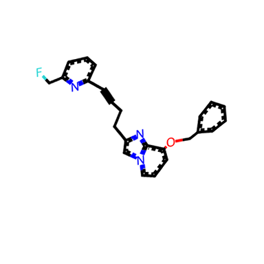 FCc1cccc(C#CCCc2cn3cccc(OCc4ccccc4)c3n2)n1